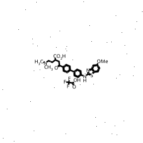 COc1ccc2sc(Nc3ccc(-c4ccc(C(=O)CC(CCN(C)C)C(=O)O)cc4)cc3)nc2c1.O=C(O)C(F)(F)F